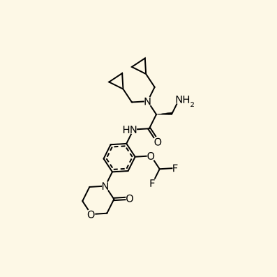 NC[C@@H](C(=O)Nc1ccc(N2CCOCC2=O)cc1OC(F)F)N(CC1CC1)CC1CC1